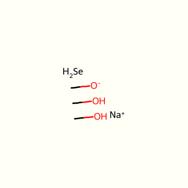 CO.CO.C[O-].[Na+].[SeH2]